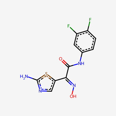 Nc1ncc(C(=NO)C(=O)Nc2ccc(F)c(F)c2)s1